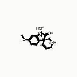 COc1ccc2c(c1)NC(=O)[C@]21C=CCNC1.Cl